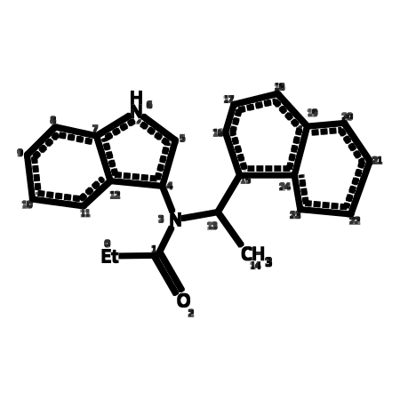 CCC(=O)N(c1c[nH]c2ccccc12)C(C)c1cccc2ccccc12